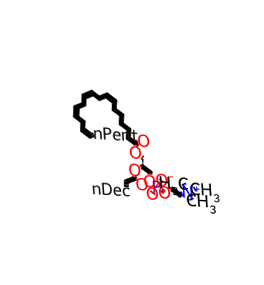 CCCCC/C=C\C/C=C\C/C=C\C/C=C\CCCCCC(=O)OC[C@H](COP(=O)([O-])OCC[N+](C)(C)C)OC(=O)CCCCCCCCCCC